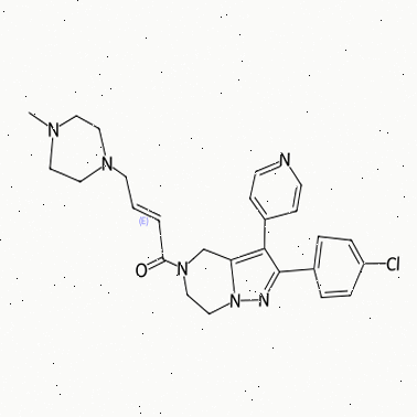 CN1CCN(C/C=C/C(=O)N2CCn3nc(-c4ccc(Cl)cc4)c(-c4ccncc4)c3C2)CC1